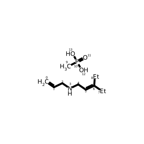 C=CCNCC=C(CC)CC.CP(=O)(O)O